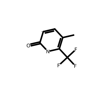 CC1=C(C(F)(F)F)[N]C(=O)[C]=C1